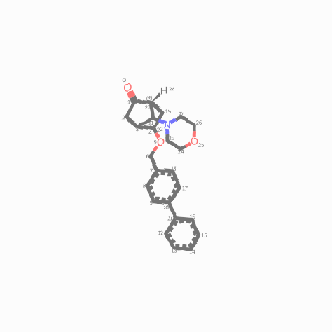 O=C1CC2C(OCc3ccc(-c4ccccc4)cc3)C[C@@H]1C2N1CCOCC1